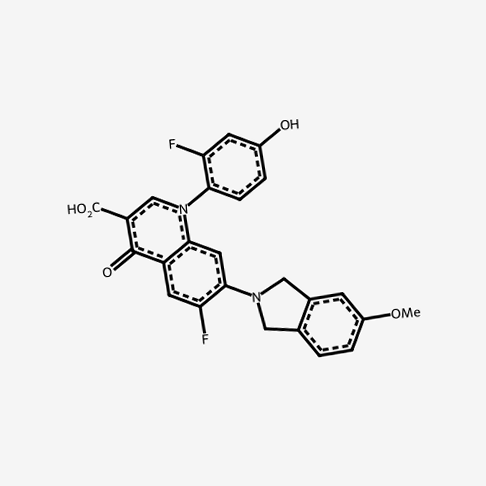 COc1ccc2c(c1)CN(c1cc3c(cc1F)c(=O)c(C(=O)O)cn3-c1ccc(O)cc1F)C2